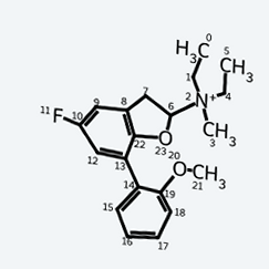 CC[N+](C)(CC)C1Cc2cc(F)cc(-c3ccccc3OC)c2O1